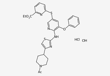 CCOC(=O)c1cccc(Sc2cnc(Nc3nc(C4CCN(C(C)=O)CC4)cs3)c(Oc3ccccc3)c2)n1.Cl.Cl